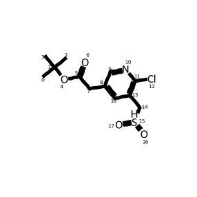 CC(C)(C)OC(=O)Cc1cnc(Cl)c(C[SH](=O)=O)c1